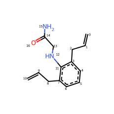 C=CCc1cccc(CC=C)c1NCC(N)=O